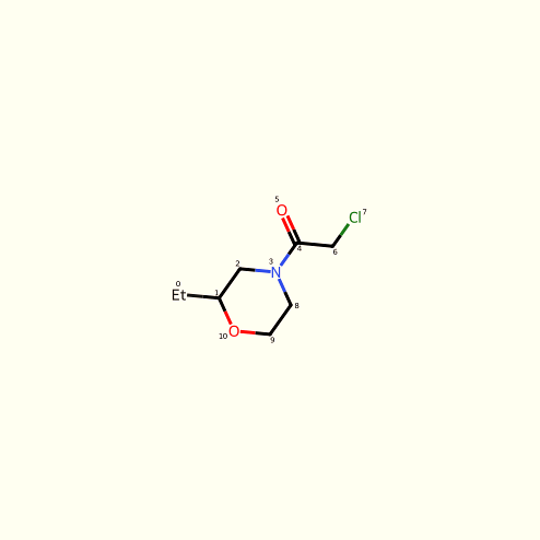 CCC1CN(C(=O)CCl)CCO1